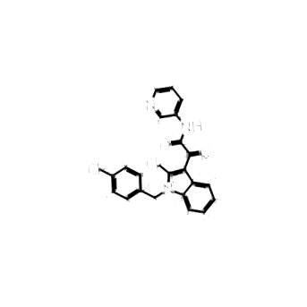 O=C(Nc1cccnc1)C(=O)c1c(Cl)n(Cc2ccc(Cl)cc2)c2ccccc12